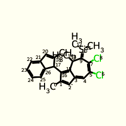 CC1=[C]C2=CC(Cl)=C(Cl)C(=[Si](C)C)C(C)C2=C1C1C(C)=Cc2ccccc21